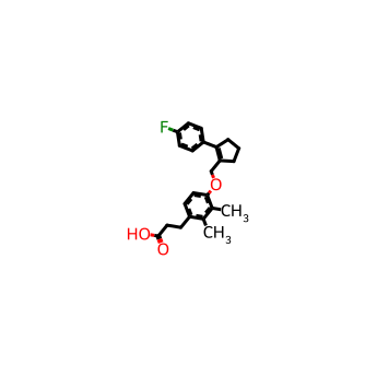 Cc1c(CCC(=O)O)ccc(OCC2=C(c3ccc(F)cc3)CCC2)c1C